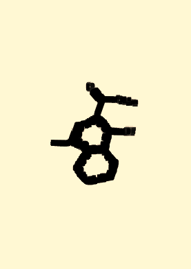 COC(=O)c1cc(C)c2ccccc2c1O